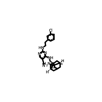 N#Cc1cnc(NCCc2cccc(Cl)c2)nc1NC[C@]12CC3C[C@H](C1)[C@@H](N)[C@@H](C3)C2